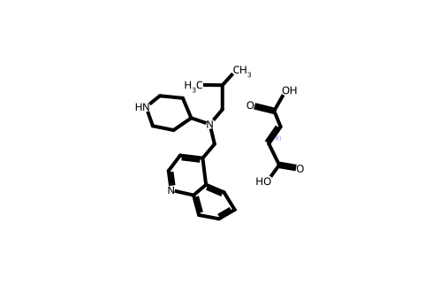 CC(C)CN(Cc1ccnc2ccccc12)C1CCNCC1.O=C(O)/C=C/C(=O)O